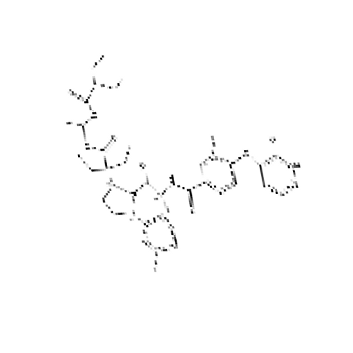 CCC(CC)C(=O)OC(C)OC(=O)C(CC)(CC)[C@H]1CC[C@@H](c2cccc(F)c2)N1C(=O)[C@@H](C)NC(=O)c1ccc(Oc2cc(C)n[nH]c2=O)c(F)c1